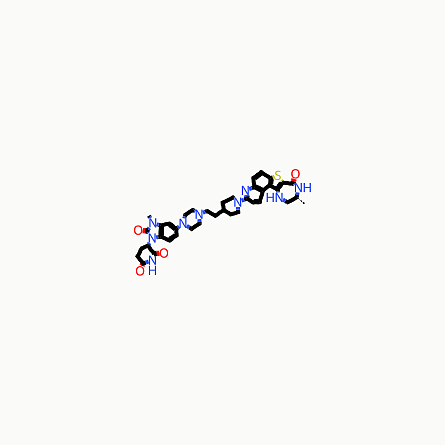 C[C@@H]1CNc2c(sc3ccc4nc(N5CCC(CCN6CCN(c7ccc8c(c7)n(C)c(=O)n8C7CCC(=O)NC7=O)CC6)CC5)ccc4c23)C(=O)N1